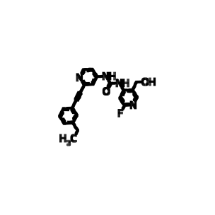 CCc1cccc(C#Cc2cc(NC(=O)Nc3cc(F)ncc3CO)ccn2)c1